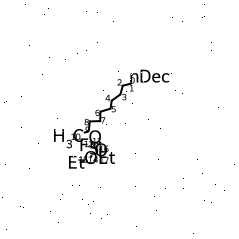 CCCCCCCCCCCCCCCCCCC(C)O[Si](F)(OCC)OCC